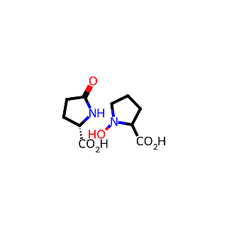 O=C(O)C1CCCN1O.O=C1CC[C@@H](C(=O)O)N1